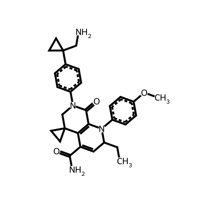 CCC1C=C(C(N)=O)C2=C(C(=O)N(c3ccc(C4(CN)CC4)cc3)CC23CC3)N1c1ccc(OC)cc1